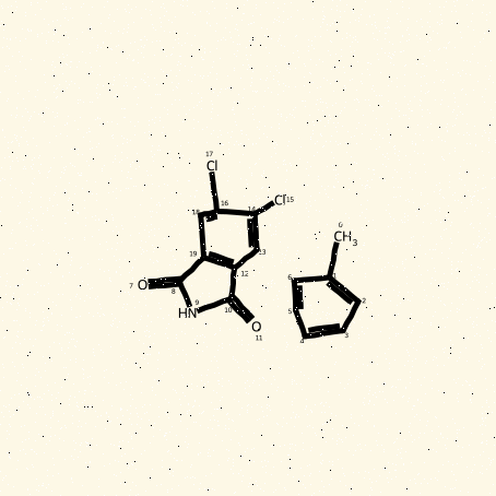 Cc1ccccc1.O=C1NC(=O)c2cc(Cl)c(Cl)cc21